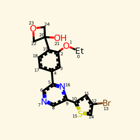 CCOc1cc(-c2cncc(-c3cc(Br)cs3)n2)ccc1C1(O)COC1